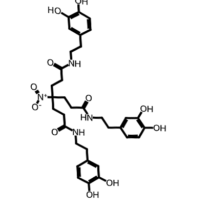 O=C(CCC(CCC(=O)NCCc1ccc(O)c(O)c1)(CCC(=O)NCCc1ccc(O)c(O)c1)[N+](=O)[O-])NCCc1ccc(O)c(O)c1